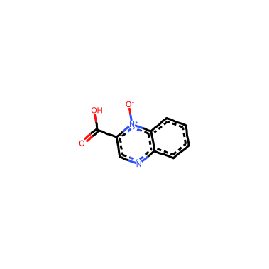 O=C(O)c1cnc2ccccc2[n+]1[O-]